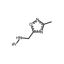 Cc1noc(CNC(C)C)n1